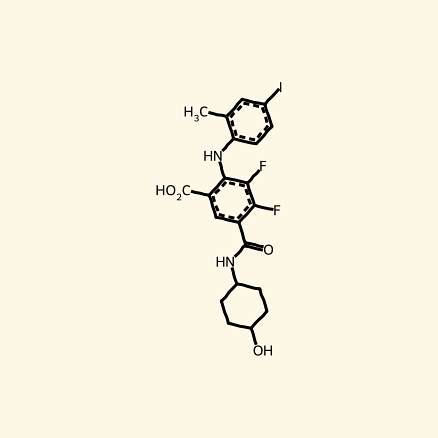 Cc1cc(I)ccc1Nc1c(C(=O)O)cc(C(=O)NC2CCC(O)CC2)c(F)c1F